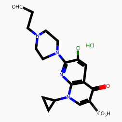 Cl.O=CCCN1CCN(c2nc3c(cc2Cl)c(=O)c(C(=O)O)cn3C2CC2)CC1